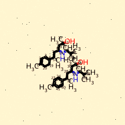 CC1=CC=C([C@@H](C)CC(CC(C)(C)O)NCC(C)C)CC1.Cc1ccc([C@@H](C)CC(CC(C)(C)O)NCC(C)C)cc1